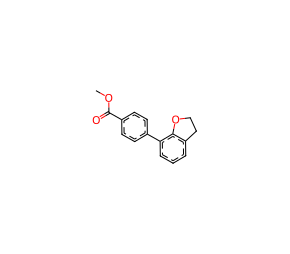 COC(=O)c1ccc(-c2cccc3c2OCC3)cc1